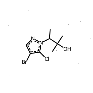 CC(n1ncc(Br)c1Cl)C(C)(C)O